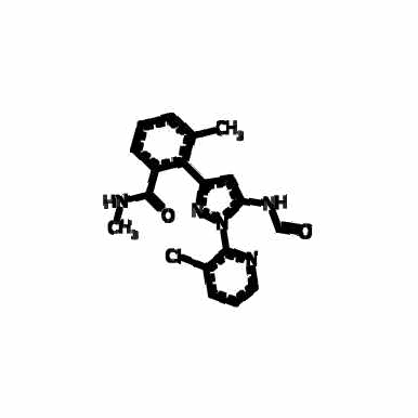 CNC(=O)c1cccc(C)c1-c1cc(NC=O)n(-c2ncccc2Cl)n1